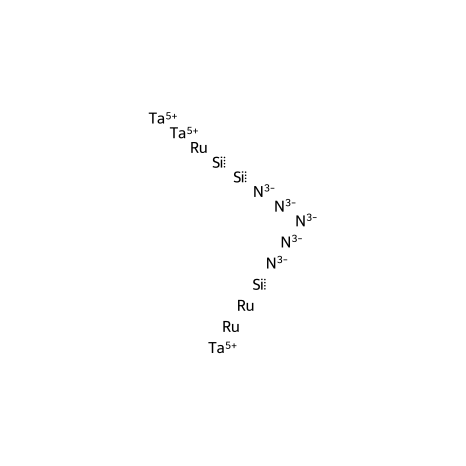 [N-3].[N-3].[N-3].[N-3].[N-3].[Ru].[Ru].[Ru].[Si].[Si].[Si].[Ta+5].[Ta+5].[Ta+5]